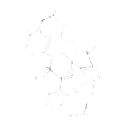 CC1(C)c2c(cc3c4c2CCCN4CCC3)C2(OC(=O)c3ccc(C(=O)O)cc32)c2cc3c4c(c21)CCCN4CCC3